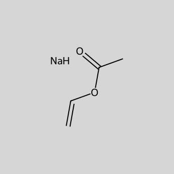 C=COC(C)=O.[NaH]